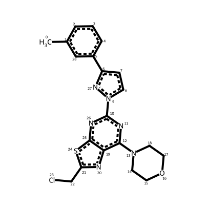 Cc1cccc(-c2ccn(-c3nc(N4CCOCC4)c4nc(CCl)sc4n3)n2)c1